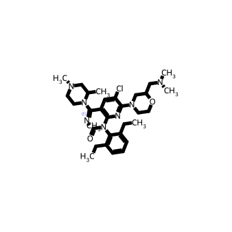 CCc1cccc(CC)c1N(C=O)c1nc(N2CCOC(CN(C)C)C2)c(Cl)cc1/C(=N\C)N1CCN(C)CC1C